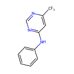 FC(F)(F)c1cc(Nc2ccccc2)ncn1